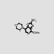 COc1ncc(N2CCOCC2)c2sc(N)nc12